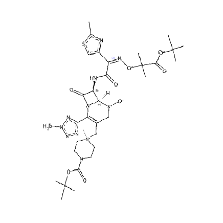 Bn1nnc(C2=C(C[N+]3(C)CCN(C(=O)OC(C)(C)C)CC3)C[S+]([O-])[C@@H]3[C@H](NC(=O)/C(=N\OC(C)(C)C(=O)OC(C)(C)C)c4csc(C)n4)C(=O)N23)n1